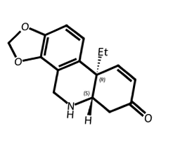 CC[C@]12C=CC(=O)C[C@@H]1NCc1c2ccc2c1OCO2